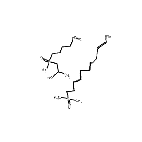 CCCCCCCCC=CCCCCCCCCP(C)(C)=O.CCCCCCCCCCCCCCP(C)(=O)CC(C)O